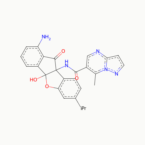 Cc1c(C(=O)NC23C(=O)c4c(N)cccc4C2(O)Oc2cc(C(C)C)ccc23)cnc2ccnn12